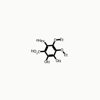 CCCCCCc1c(OCC)c(OCC)c(O)c(O)c1C(=O)O